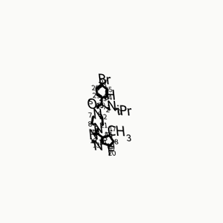 CC(C)NC[C@@H](C(=O)N1CCN(c2ncnc3c2[C@H](C)C[C@@H]3F)CC1)c1ccc(Br)cc1